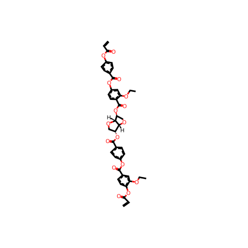 C=CC(=O)Oc1ccc(C(=O)Oc2ccc(C(=O)O[C@H]3CO[C@H]4[C@@H]3OC[C@H]4OC(=O)c3ccc(OC(=O)c4ccc(OC(=O)C=C)c(OCC)c4)cc3)c(OCC)c2)cc1